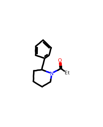 CCC(=O)N1CCCCC1c1ccccc1